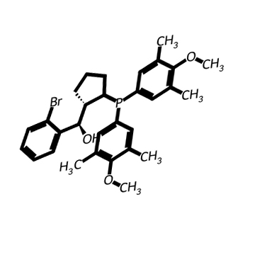 COc1c(C)cc(P(c2cc(C)c(OC)c(C)c2)C2CCC[C@H]2[C@@H](O)c2ccccc2Br)cc1C